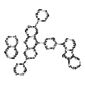 c1ccc(-c2ccc3c(-c4cccc5ccccc45)c4cc(-c5ccccc5)ccc4c(-c4ccc(-c5cccc6c5oc5ccccc56)cc4)c3c2)cc1